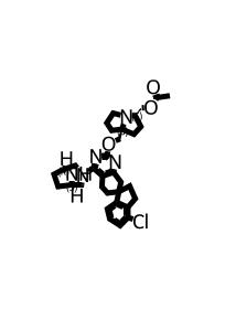 CC(=O)OC[C@@H]1CC[C@]2(COc3nc4c(c(N5C[C@H]6CC[C@@H](C5)N6)n3)CCC3(CCc5c(Cl)cccc53)C4)CCCN12